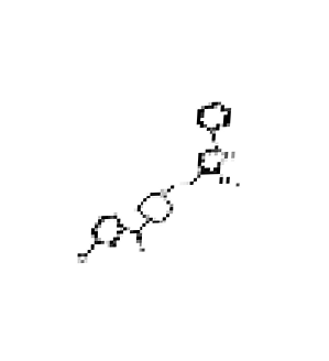 Cc1[nH]c(-c2ccccc2)cc1CCN1CCC(C(=O)c2cccc(Cl)c2)CC1